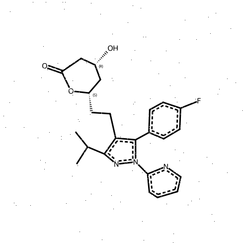 CC(C)c1nn(-c2ccccn2)c(-c2ccc(F)cc2)c1CC[C@H]1C[C@@H](O)CC(=O)O1